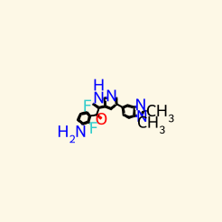 Cc1nc2cc(-c3cnc4[nH]cc(C(=O)c5c(F)ccc(N)c5F)c4c3)ccc2n1C